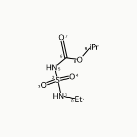 C[CH]NS(=O)(=O)NC(=O)OC(C)C